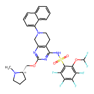 CN1CCC[C@H]1COc1nc2c(c(NS(=O)(=O)c3c(F)c(F)c(F)c(F)c3OC(F)F)n1)CCN(c1cccc3ccccc13)C2